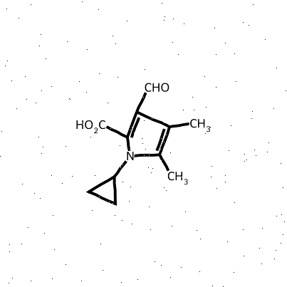 Cc1c(C=O)c(C(=O)O)n(C2CC2)c1C